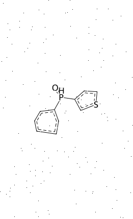 O=[PH](c1ccccc1)c1ccsc1